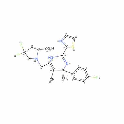 C[C@@]1(c2ccc(F)cc2)N=C(c2nccs2)NC(CN2CC(F)(F)CC2C(=O)O)=C1C#N